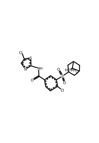 O=C(Nc1ncc(Cl)s1)c1ccc(Cl)c(S(=O)(=O)C2CC3CC(C2)C3(O)P)c1